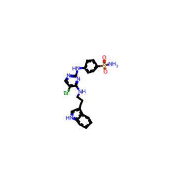 NS(=O)(=O)c1ccc(Nc2ncc(Br)c(NCCc3c[nH]c4ccccc34)n2)cc1